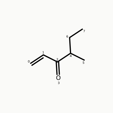 C=CC(=O)C(C)CC